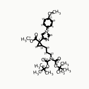 COC(=O)C1(c2cn(-c3ccc(OC)cc3)cn2)CC1CCCN(C(=O)OC(C)(C)C)C(=O)OC(C)(C)C